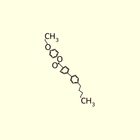 CCCCCc1ccc(-c2ccc(C(=O)Oc3ccc(OCCC)cc3)cc2)cc1